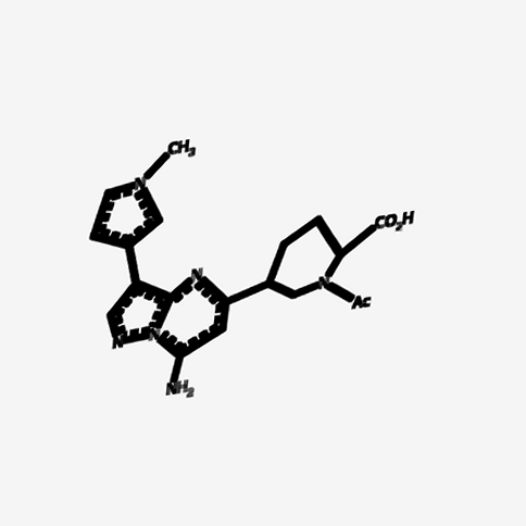 CC(=O)N1CC(c2cc(N)n3ncc(-c4ccn(C)c4)c3n2)CCC1C(=O)O